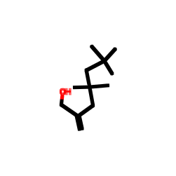 C=C(CO)CC(C)(C)CC(C)(C)C